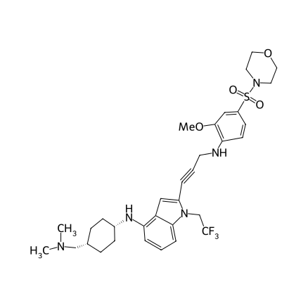 COc1cc(S(=O)(=O)N2CCOCC2)ccc1NCC#Cc1cc2c(N[C@H]3CC[C@@H](CN(C)C)CC3)cccc2n1CC(F)(F)F